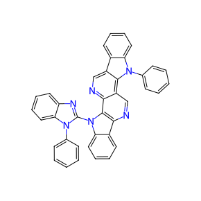 c1ccc(-n2c(-n3c4ccccc4c4ncc5c(ncc6c7ccccc7n(-c7ccccc7)c65)c43)nc3ccccc32)cc1